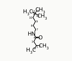 CC(C)CC(=O)NCCCCC(C)(C)C